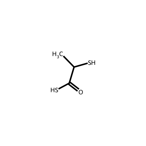 CC(S)C(=O)S